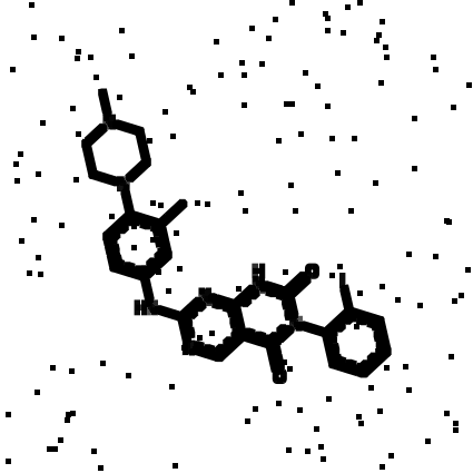 Cc1cc(Nc2ncc3c(=O)n(-c4ccccc4I)c(=O)[nH]c3n2)ccc1N1CCN(C)CC1